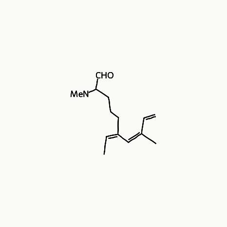 C=C/C(C)=C\C(=C/C)CCCC(C=O)NC